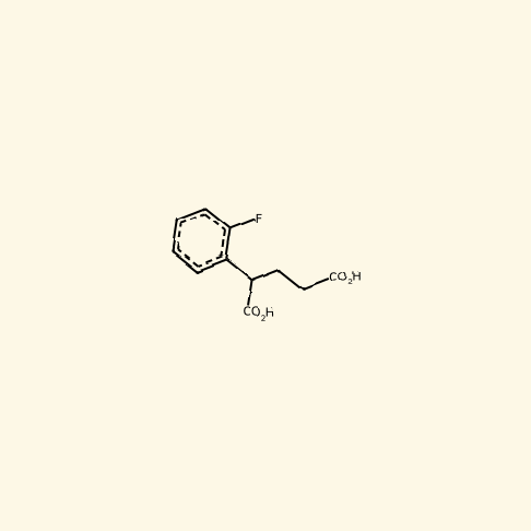 O=C(O)CCC(C(=O)O)c1ccccc1F